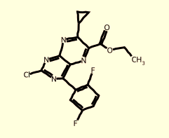 CCOC(=O)c1nc2c(-c3cc(F)ccc3F)nc(Cl)nc2nc1C1CC1